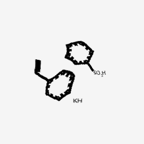 C=Cc1ccccc1.O=S(=O)(O)c1ccccc1.[KH]